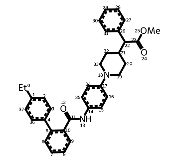 CCc1ccc(-c2ccccc2C(=O)Nc2ccc(N3CCC(C(C(=O)OC)c4ccccc4)CC3)cc2)cc1